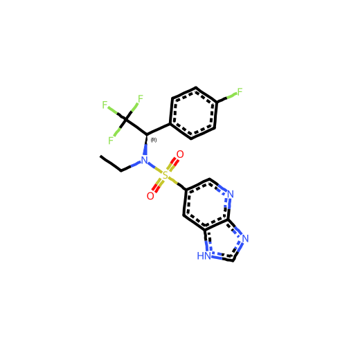 CCN([C@H](c1ccc(F)cc1)C(F)(F)F)S(=O)(=O)c1cnc2nc[nH]c2c1